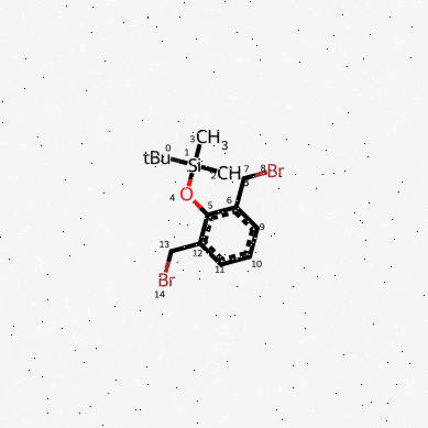 CC(C)(C)[Si](C)(C)Oc1c(CBr)cccc1CBr